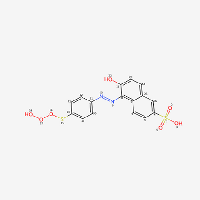 O=S(=O)(O)c1ccc2c(N=Nc3ccc(SOOO)cc3)c(O)ccc2c1